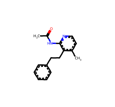 CC(=O)Nc1nccc(C)c1CCc1ccccc1